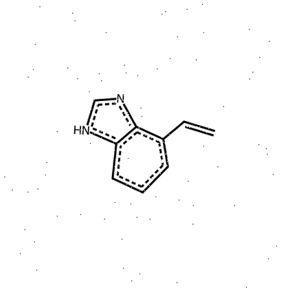 C=Cc1cccc2[nH]cnc12